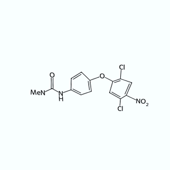 CNC(=O)Nc1ccc(Oc2cc(Cl)c([N+](=O)[O-])cc2Cl)cc1